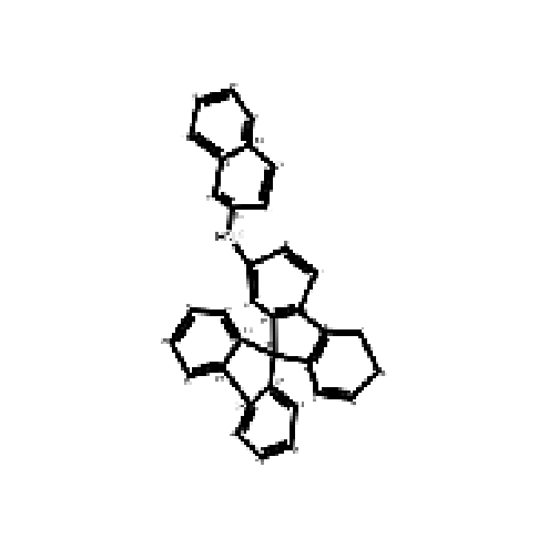 C1=CC2=C(CC1)c1ccc(Nc3ccc4ccccc4c3)cc1C21c2ccccc2-c2ccccc21